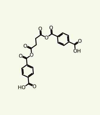 O=C(CCC(=O)OC(=O)c1ccc(C(=O)O)cc1)OC(=O)c1ccc(C(=O)O)cc1